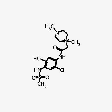 CN1CC[N+](C)(CC(=O)Nc2cc(O)c(NS(C)(=O)=O)cc2Cl)CC1